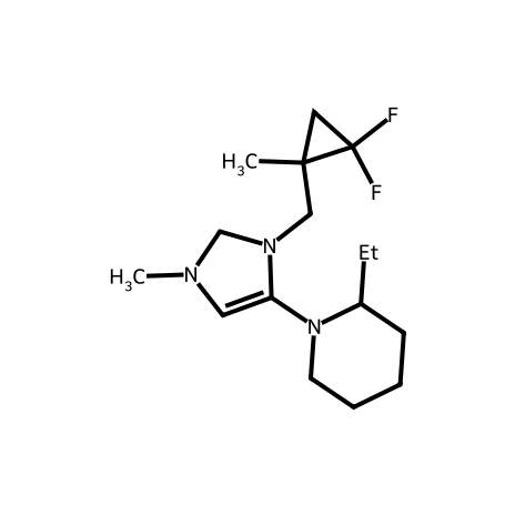 CCC1CCCCN1C1=CN(C)CN1CC1(C)CC1(F)F